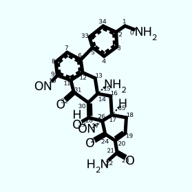 NCc1ccc(-c2ccc(N=O)c3c2C[C@@]2(N)C[C@H]4CC=C(C(N)=O)C(=O)[C@@]4(N=O)C(O)=C2C3=O)cc1